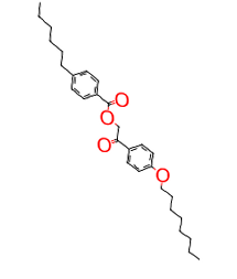 CCCCCCCCOc1ccc(C(=O)COC(=O)c2ccc(CCCCCC)cc2)cc1